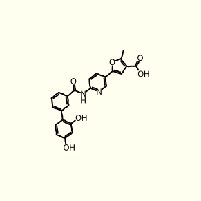 Cc1oc(-c2ccc(NC(=O)c3cccc(-c4ccc(O)cc4O)c3)nc2)cc1C(=O)O